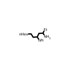 CCCCCCCCC(CCC)CC(N)CC